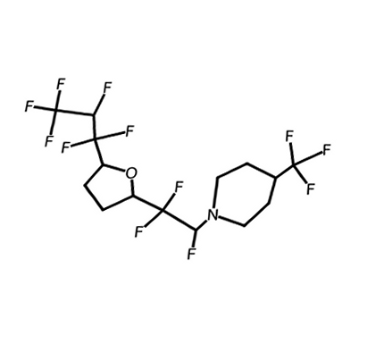 FC(N1CCC(C(F)(F)F)CC1)C(F)(F)C1CCC(C(F)(F)C(F)C(F)(F)F)O1